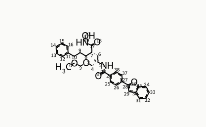 COCOC[C@H](C[C@H](CCCc1ccccc1)C(=O)NO)NC(=O)c1ccc(-c2cc3ccccc3o2)cc1